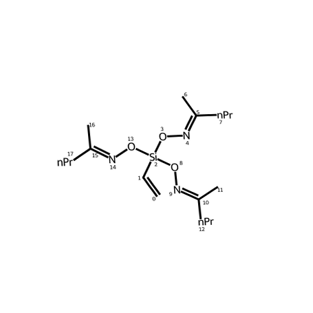 C=C[Si](ON=C(C)CCC)(ON=C(C)CCC)ON=C(C)CCC